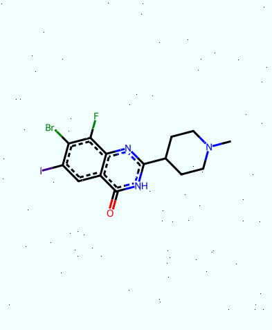 CN1CCC(c2nc3c(F)c(Br)c(I)cc3c(=O)[nH]2)CC1